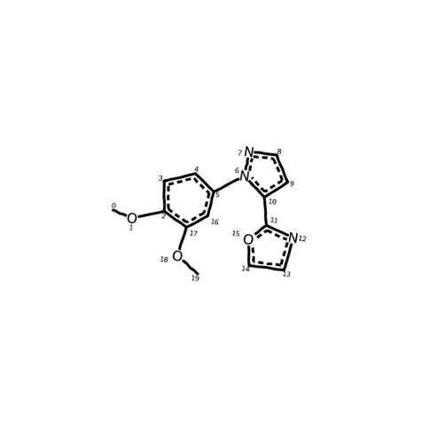 COc1ccc(-n2nccc2-c2ncco2)cc1OC